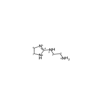 NCCNC1=NCCN1